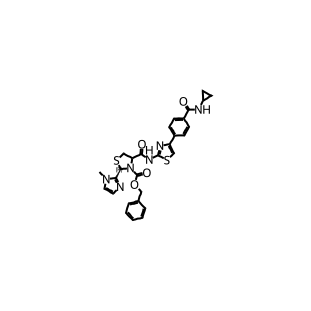 Cn1ccnc1[C@H]1SCC(C(=O)Nc2nc(-c3ccc(C(=O)NC4CC4)cc3)cs2)N1C(=O)OCc1ccccc1